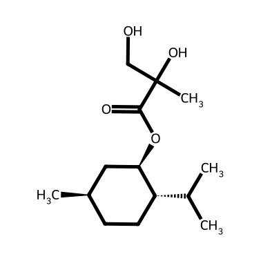 CC(C)[C@@H]1CC[C@@H](C)C[C@H]1OC(=O)C(C)(O)CO